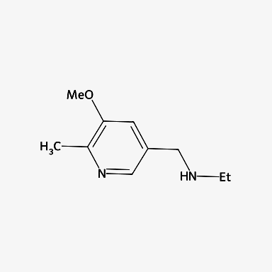 CCNCc1cnc(C)c(OC)c1